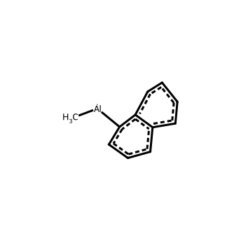 [CH3][Al][c]1cccc2ccccc12